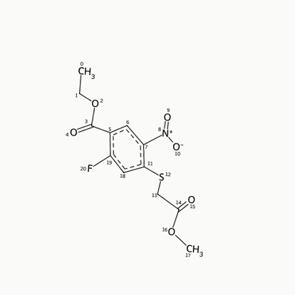 CCOC(=O)c1cc([N+](=O)[O-])c(SCC(=O)OC)cc1F